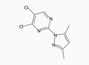 Cc1cc(C)n(-c2ncc(Cl)c(Cl)n2)n1